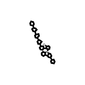 c1ccc(-c2ccc(-c3ccc(-c4ccc(-c5cccc6c5oc5cccc(-n7c8ccccc8c8cc(-c9ccccc9)ccc87)c56)cc4)cc3)cc2)cc1